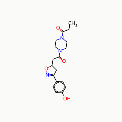 CCC(=O)N1CCN(C(=O)CC2CC(c3ccc(O)cc3)=NO2)CC1